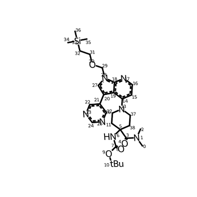 CN(C)C(=O)C1(NC(=O)OC(C)(C)C)CCN(c2ccnc3c2c(-c2cncnc2)cn3COCC[Si](C)(C)C)CC1